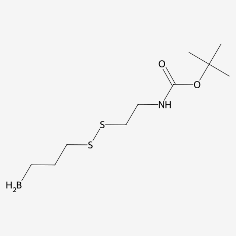 BCCCSSCCNC(=O)OC(C)(C)C